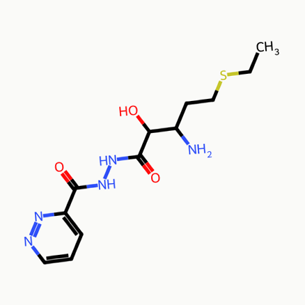 CCSCCC(N)C(O)C(=O)NNC(=O)c1cccnn1